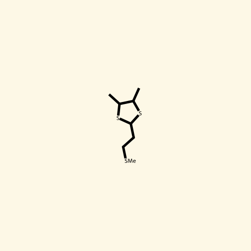 CSCCC1SC(C)C(C)S1